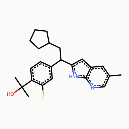 Cc1cnc2[nH]c(C(CC3CCCC3)c3ccc(C(C)(C)O)c(F)c3)cc2c1